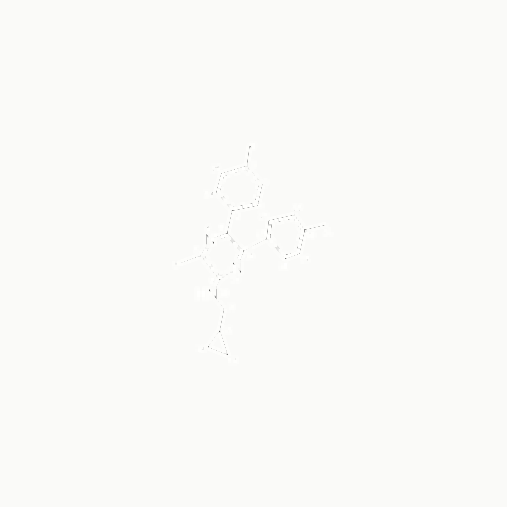 Cc1ccc(-c2nc(C)c(NCC3CC3)nc2-c2ccc(C)cc2)cc1